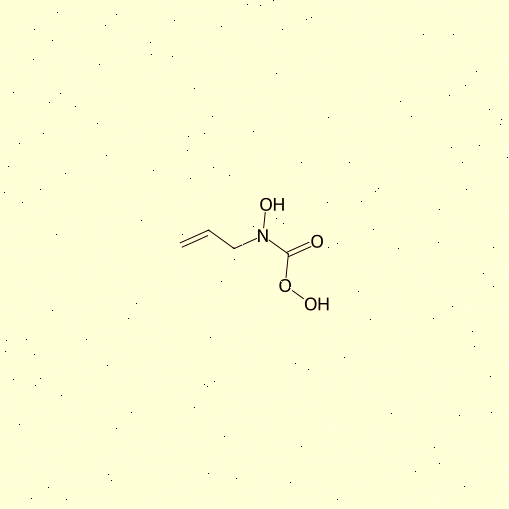 C=CCN(O)C(=O)OO